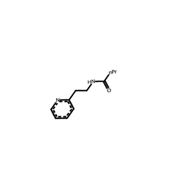 CCCC(=O)NCCc1ccccn1